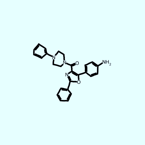 Nc1ccc(-c2oc(-c3ccccc3)nc2C(=O)N2CCN(c3ccccc3)CC2)cc1